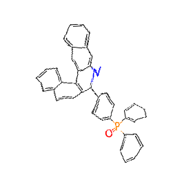 O=P(C1=CCCC=C1)(c1ccccc1)c1ccc(-c2nc3cc4ccccc4cc3c3c2ccc2ccccc23)cc1